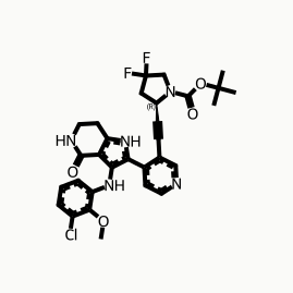 COc1c(Cl)cccc1Nc1c(-c2ccncc2C#C[C@H]2CC(F)(F)CN2C(=O)OC(C)(C)C)[nH]c2c1C(=O)NCC2